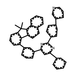 CC1(C)c2cccc(-c3cccc(-c4cc(-c5ccccc5)nc(-c5ccc(-c6cccnc6)cc5)n4)c3)c2-c2ccc3ccccc3c21